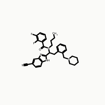 CCCCN(C(=O)c1cccc(F)c1F)C(Cc1ccccc1CN1CCCCC1)c1nc2cc(C#N)ccc2[nH]1